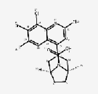 O=C(O)N1[C@@H]2CC[C@H]1CN(c1nc(Cl)nc3c(Cl)c(Br)c(I)cc13)C2